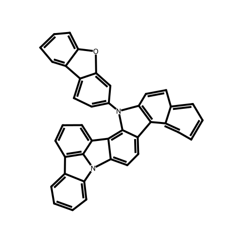 c1ccc2c(c1)ccc1c2c2ccc3c(c4cccc5c6ccccc6n3c54)c2n1-c1ccc2c(c1)oc1ccccc12